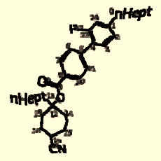 CCCCCCCc1ccc(-c2ccc(C(=O)OC3(CCCCCCC)CCC(C#N)CC3)cc2)c(F)c1